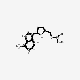 COP(S)OCC1CCC(n2cnc3c(N)ncnc32)O1